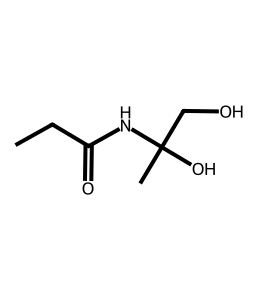 CCC(=O)NC(C)(O)CO